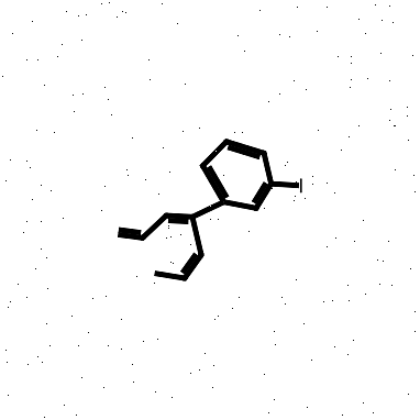 C=C/C=C(\C=C/C)c1cccc(I)c1